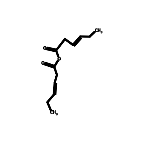 CCC=CCC(=O)OC(=O)CC=CCC